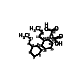 CSCC1CCCCC1.CSCC1CCCCC1.O=C(O)OC(=O)O